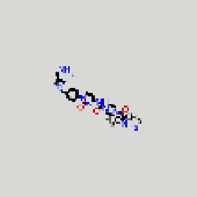 CC(C)(N)C(=O)N1CCN(C(=O)Nc2ccn(C3CCC(CN4CC(CN)C4)CC3)c(=O)n2)CC1